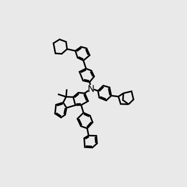 CC1(C)c2ccccc2-c2c(-c3ccc(-c4ccccc4)cc3)cc(N(c3ccc(-c4cccc(C5CCCCC5)c4)cc3)c3ccc(C4CC5CCC4C5)cc3)cc21